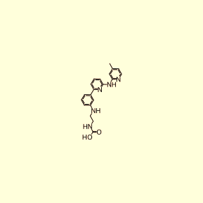 Cc1ccnc(Nc2cccc(-c3cccc(NCCNC(=O)O)c3)n2)c1